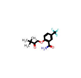 CC(C)(C)C(=O)COc1ccc(C(F)(F)F)cc1C(N)=O